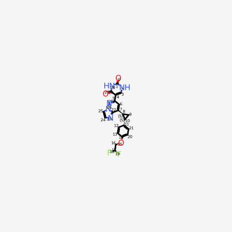 O=c1[nH]cc(-c2cc([C@H]3C[C@@H]3c3ccc(OCC(F)F)cc3)c3nccn3n2)c(=O)[nH]1